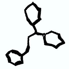 [CH]1CCC(C(CCc2ccccc2)N2CCCCC2)CC1